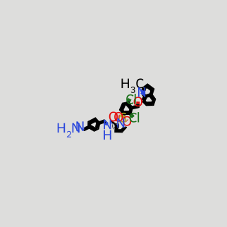 Cc1ccc2cccc(OCc3c(Cl)ccc(S(=O)(=O)N4CCC[C@H]4C(=O)NCc4ccc(C=NN)cc4)c3Cl)c2n1